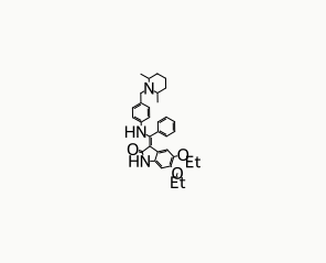 CCOc1cc2c(cc1OCC)/C(=C(/Nc1ccc(CN3C(C)CCCC3C)cc1)c1ccccc1)C(=O)N2